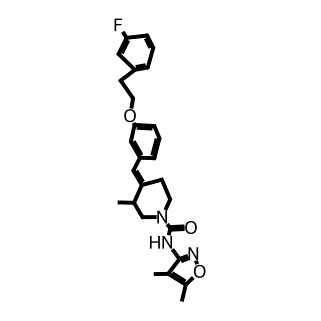 Cc1onc(NC(=O)N2CCC(=Cc3cccc(OCCc4cccc(F)c4)c3)C(C)C2)c1C